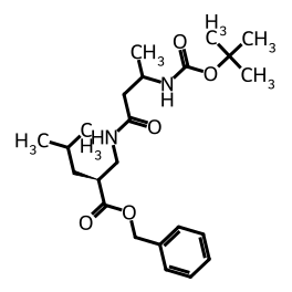 CC(C)C[C@@H](CNC(=O)CC(C)NC(=O)OC(C)(C)C)C(=O)OCc1ccccc1